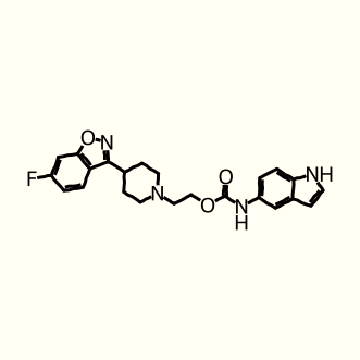 O=C(Nc1ccc2[nH]ccc2c1)OCCN1CCC(c2noc3cc(F)ccc23)CC1